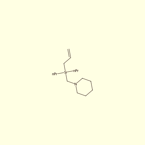 C=CC[Si](CCC)(CCC)CN1CCCCC1